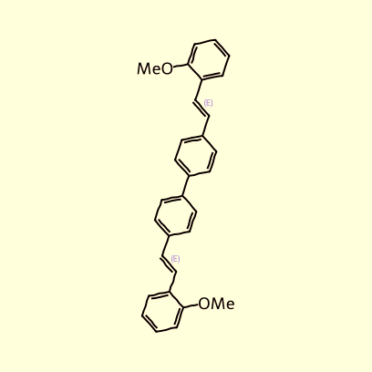 COc1ccccc1/C=C/c1ccc(-c2ccc(/C=C/c3ccccc3OC)cc2)cc1